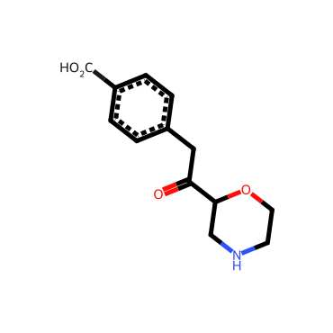 O=C(O)c1ccc(CC(=O)C2CNCCO2)cc1